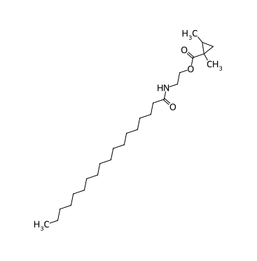 CCCCCCCCCCCCCCCCCC(=O)NCCOC(=O)C1(C)CC1C